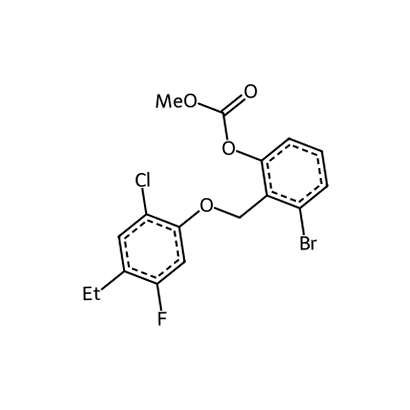 CCc1cc(Cl)c(OCc2c(Br)cccc2OC(=O)OC)cc1F